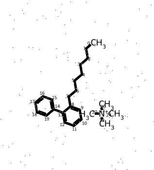 CCCCCCCCc1ccccc1-c1ccccc1.C[N+](C)(C)C